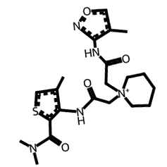 Cc1conc1NC(=O)C[N+]1(CC(=O)Nc2c(C)csc2C(=O)N(C)C)CCCCC1